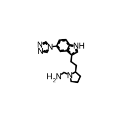 NCN1CCCC1CCc1c[nH]c2ccc(-n3cnnc3)cc12